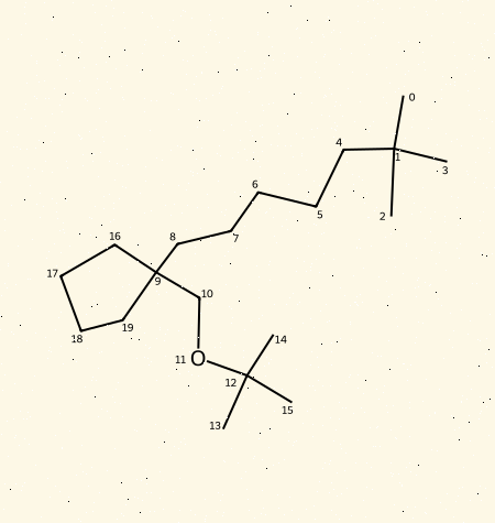 CC(C)(C)CCCCCC1(COC(C)(C)C)CCCC1